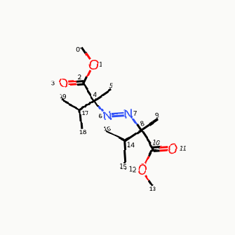 COC(=O)C(C)(N=NC(C)(C(=O)OC)C(C)C)C(C)C